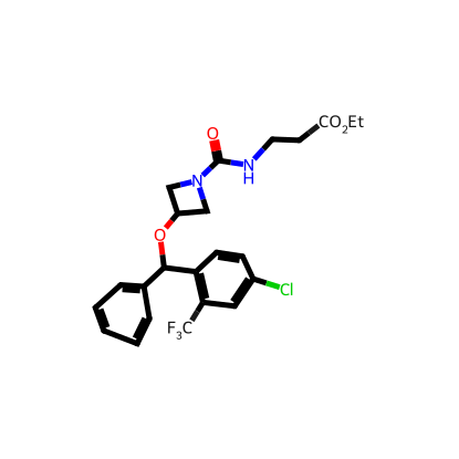 CCOC(=O)CCNC(=O)N1CC(OC(c2ccccc2)c2ccc(Cl)cc2C(F)(F)F)C1